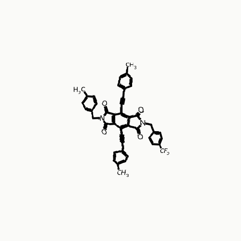 Cc1ccc(C#Cc2c3c(=O)n(Cc4ccc(C)cc4)c(=O)c3c(C#Cc3ccc(C)cc3)c3c(=O)n(Cc4ccc(C(F)(F)F)cc4)c(=O)c23)cc1